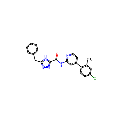 Cc1cc(Cl)ccc1-c1ccnc(NC(=O)c2nnc(Cc3ccccc3)[nH]2)c1